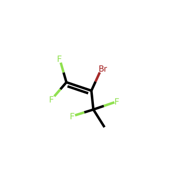 CC(F)(F)C(Br)=C(F)F